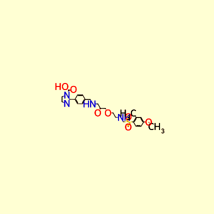 COc1ccc(S(=O)(=O)CNCCOCC(=O)CNCc2ccc(C3=NCCN3C(=O)O)cc2)c(C)c1